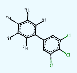 [2H]c1c([2H])c([2H])c(-c2cc(Cl)c(Cl)c(Cl)c2)c([2H])c1[2H]